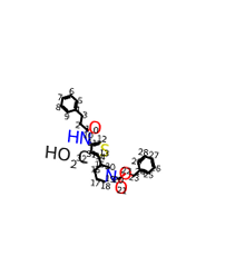 O=C(CCc1ccccc1)Nc1csc(C2CCCN(C(=O)OCc3ccccc3)C2)c1C(=O)O